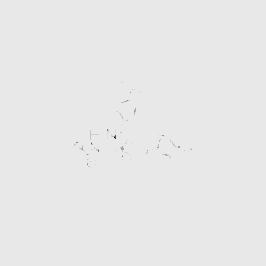 CCCCS(=O)(=O)NC[C@H]1C(=O)C(CCc2ccc(OC)cc2)[C@H](c2ccc(C(C)(C)C)cc2)N1C